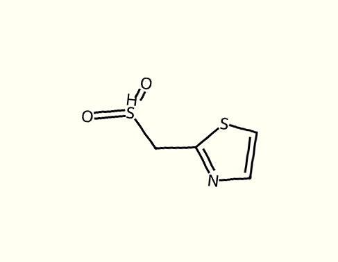 O=[SH](=O)Cc1nccs1